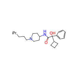 CC(C)CCCN1CCC(NC(=O)C(O)(c2ccccc2)C2CCC2)CC1